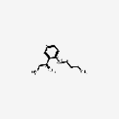 C=C(CC)c1ccccc1NCCCC